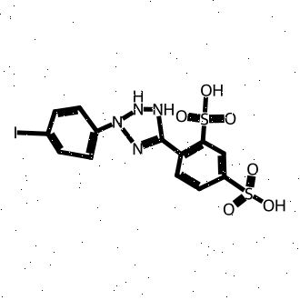 O=S(=O)(O)c1ccc(C2=NN(c3ccc(I)cc3)NN2)c(S(=O)(=O)O)c1